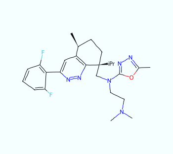 Cc1nnc(N(CCN(C)C)C[C@@]2(C(C)C)CC[C@H](C)c3cc(-c4c(F)cccc4F)nnc32)o1